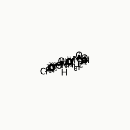 Cc1cnoc1C(=O)NCc1ccc(NC(=O)OCc2ccc(Cl)cc2)cc1